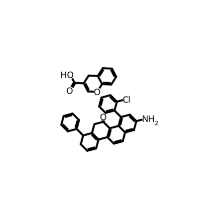 Nc1cc(-c2ccccc2Cl)c2c3c(ccc2c1)C1=C(CC3=O)C(c2ccccc2)CC=C1.O=C(O)C1=COc2ccccc2C1